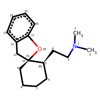 CN(C)CC[C@H]1CCCC[C@]12Cc1ccccc1O2